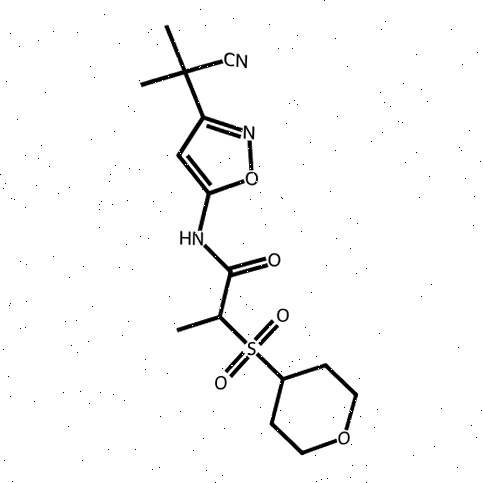 CC(C(=O)Nc1cc(C(C)(C)C#N)no1)S(=O)(=O)C1CCOCC1